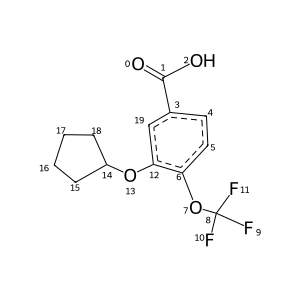 O=C(O)c1ccc(OC(F)(F)F)c(OC2CCCC2)c1